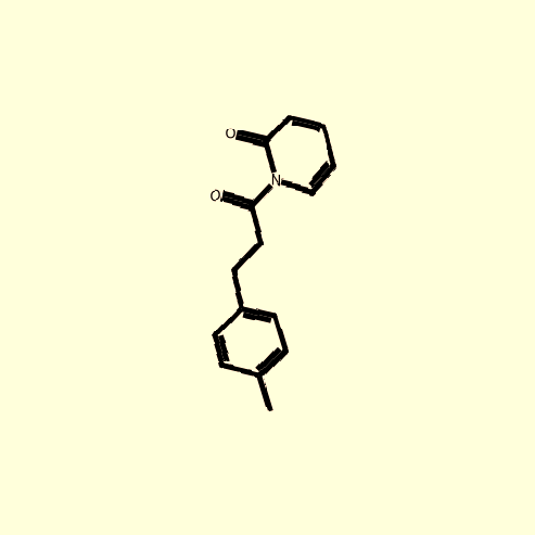 Cc1ccc(CCC(=O)n2ccccc2=O)cc1